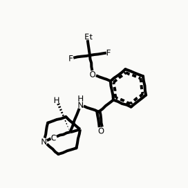 CCC(F)(F)Oc1ccccc1C(=O)N[C@@H]1CN2CCC1CC2